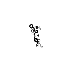 Nc1noc2cc(CNC(=O)[C@@H]3CCN3C(=O)[C@H](N)C3CCCCC3)ccc12